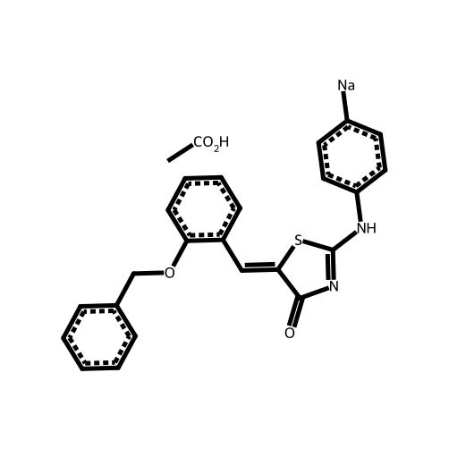 CC(=O)O.O=C1N=C(Nc2cc[c]([Na])cc2)SC1=Cc1ccccc1OCc1ccccc1